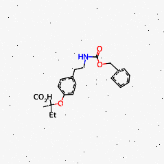 CCC(C)(Oc1ccc(CCNC(=O)OCc2ccccc2)cc1)C(=O)O